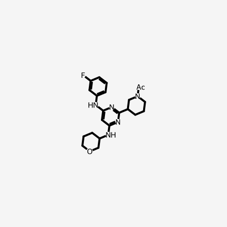 CC(=O)N1CCCC(c2nc(Nc3cccc(F)c3)cc(NC3CCCOC3)n2)C1